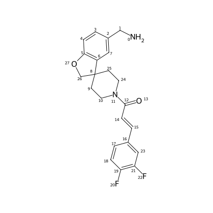 NCc1ccc2c(c1)C1(CCN(C(=O)/C=C/c3ccc(F)c(F)c3)CC1)CO2